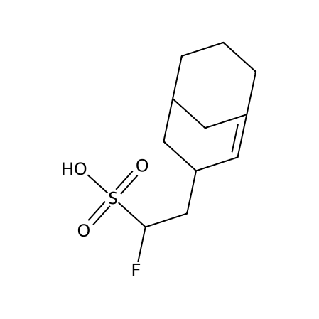 O=S(=O)(O)C(F)CC1C=C2CCCC(C2)C1